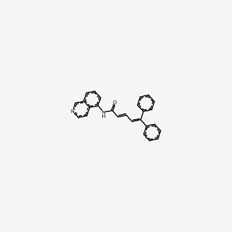 O=C(C=CC=C(c1ccccc1)c1ccccc1)Nc1cccc2cnccc12